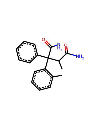 Cc1ccccc1C(C(N)=O)(c1ccccc1)C(C)C(N)=O